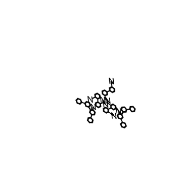 N#Cc1cccc(-c2cccc(-c3nc(-c4ccc(-n5c6ccc(-c7ccccc7)cc6c6cc(-c7ccccc7)ccc65)cc4-c4ccccc4C#N)nc(-c4ccc(-n5c6ccc(-c7ccccc7)cc6c6cc(-c7ccccc7)ccc65)cc4-c4ccccc4C#N)n3)c2)c1